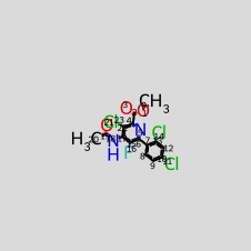 COC(=O)c1nc(-c2ccc(Cl)cc2Cl)c(F)c(NC(C)=O)c1Cl